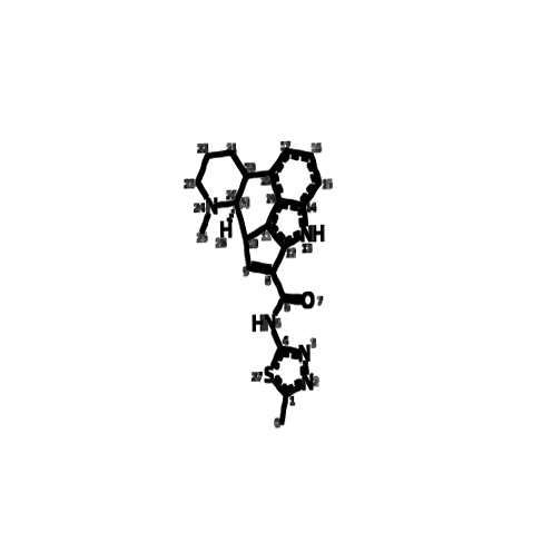 Cc1nnc(NC(=O)C2=CC3c4c2[nH]c2cccc(c42)C2CCCN(C)[C@H]32)s1